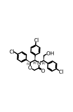 O=C1CO[C@@H](c2ccc(Cl)cc2)[C@@H](c2ccc(Cl)cc2)N1[C@@H](CO)c1ccc(Cl)cc1